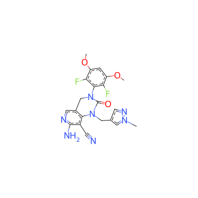 COc1cc(OC)c(F)c(N2Cc3cnc(N)c(C#N)c3N(Cc3cnn(C)c3)C2=O)c1F